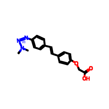 CN(C)/N=N\c1ccc(C=Cc2ccc(OCC(=O)O)cc2)cc1